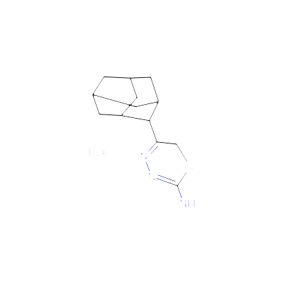 Br.NC1=NN=C(C2C3CC4CC(C3)CC2C4)CS1